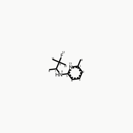 Cc1cccc(NC(C)C(C)(C)F)n1